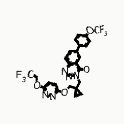 O=c1c2cc(-c3ccc(OC(F)(F)F)cc3)ccc2nnn1CC1(COc2ccc(OCC(F)(F)F)nn2)CC1